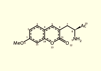 COc1ccc2cc(C[C@H](N)C(C)=O)c(=O)oc2c1